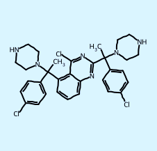 CC(c1ccc(Cl)cc1)(c1nc(Cl)c2c(C(C)(c3ccc(Cl)cc3)N3CCNCC3)cccc2n1)N1CCNCC1